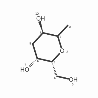 CC1O[C@H](CO)[C@H](O)C[C@H]1O